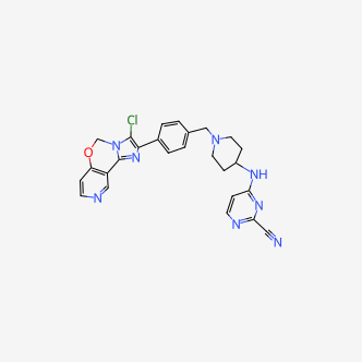 N#Cc1nccc(NC2CCN(Cc3ccc(-c4nc5n(c4Cl)COc4ccncc4-5)cc3)CC2)n1